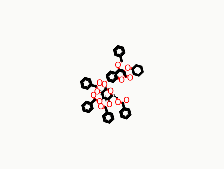 O=C(OC[C@H]1O[C@H](Oc2ccc3c(OCc4ccccc4)c(OC4CCCCC4)c(=O)oc3c2)[C@@H](OC(=O)c2ccccc2)[C@@H](OC(=O)c2ccccc2)[C@@H]1OC(=O)c1ccccc1)c1ccccc1